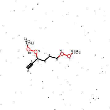 C#CC(CCCOOC(C)(C)C)OOC(C)(C)C